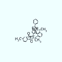 Cc1ccc2c(c1)C(=O)/C(=C\c1cc3sc(-c4ccccc4)nc3n1-c1c(C(C)C)cccc1C(C)C)C2=O